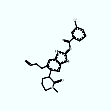 C=CCCc1cc2[nH]/c(=N\C(=O)c3cccc(C(F)(F)F)c3)[nH]c2cc1C1CCCN(C)C1=O